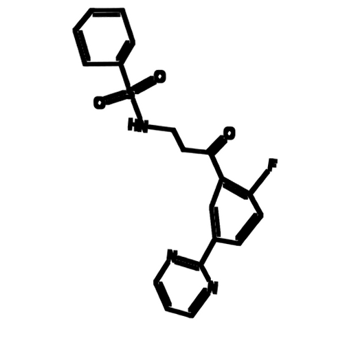 O=C(CCNS(=O)(=O)c1ccccc1)c1cc(-c2ncccn2)ccc1F